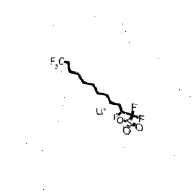 O=S(=O)([O-])C(F)(F)C(F)CCCCCCCCCC(F)(F)F.[Li+]